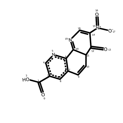 O=C(O)c1cnc2c(c1)C=CC1C(=O)C([N+](=O)[O-])=CN=C21